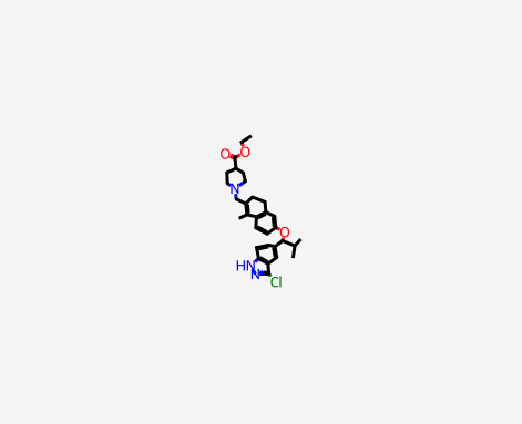 CCOC(=O)C1CCN(CC2=C(C)c3ccc(OC(c4ccc5[nH]nc(Cl)c5c4)C(C)C)cc3CC2)CC1